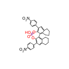 O=[N+]([O-])c1ccc(-c2cc3c(c4c2OP(=O)(O)Oc2c(-c5ccc([N+](=O)[O-])cc5)cc5c(c2-4)CCCC5)CCCC3)cc1